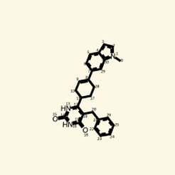 Cn1ccc2ccc(C3=CCC(c4[nH]c(=O)[nH]c(=O)c4Cc4ccccc4)CC3)cc21